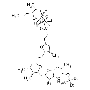 C=CC[C@@H]1O[C@@H]2[C@H]3O[C@@H]4C[C@@](CC[C@H]5CC(=C)C(CC[C@H]6C[C@@H](C)C(=C)C(C[C@@H]7O[C@H](C[C@H](C)CO[Si](CC)(CC)CC)[C@H](C)[C@H]7CC)O6)O5)(O[C@H]24)O[C@H]3[C@H]1C